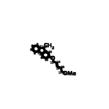 C=C1c2ccccc2-c2ccc(OC/C=C/CCOC)cc21